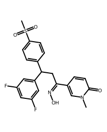 Cn1cc(C(CC(c2ccc(S(C)(=O)=O)cc2)c2cc(F)cc(F)c2)=NO)ccc1=O